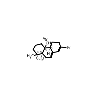 CC(C)C1=CC2=CC[C@@H]3[C@](C)(CCC[C@@]3(C)C(=O)O)[C@H]2CC1.[Ag]